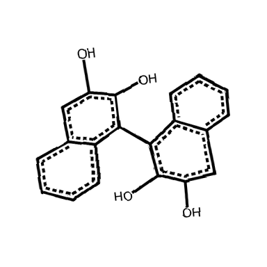 Oc1cc2ccccc2c(-c2c(O)c(O)cc3ccccc23)c1O